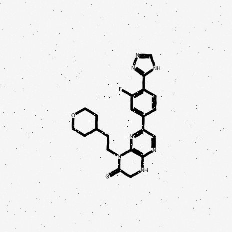 O=C1CNc2ncc(-c3ccc(-c4nnc[nH]4)c(F)c3)nc2N1CCC1CCOCC1